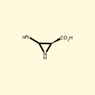 CCCC1N[C@@H]1C(=O)O